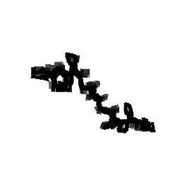 CCCCC(=O)OC(C)CCCCCCCC(=O)OCC(CC)CCCC